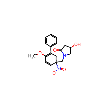 COC1=C(c2ccccc2)CC(CN2C[C@H](O)CC2=O)([N+](=O)[O-])C=C1